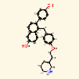 Oc1ccc(-c2ccc3cc(O)ccc3c2Cc2ccc(OCCC3CCCNC3)cc2)cc1